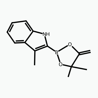 C=C1OB(c2[nH]c3ccccc3c2C)OC1(C)C